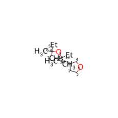 C1CCOC1.CCC(C)(C)OC(C)(C)CC